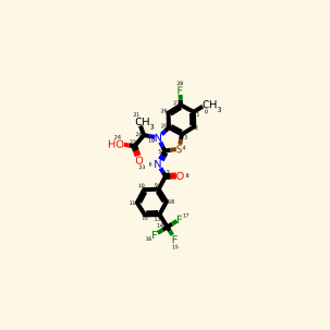 Cc1cc2s/c(=N\C(=O)c3cccc(C(F)(F)F)c3)n(C(C)C(=O)O)c2cc1F